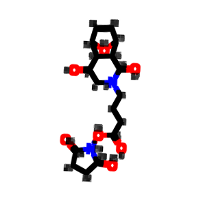 O=C(CCCN1CC(=O)C2C3C=CC(O3)C2C1=O)ON1C(=O)CCC1=O